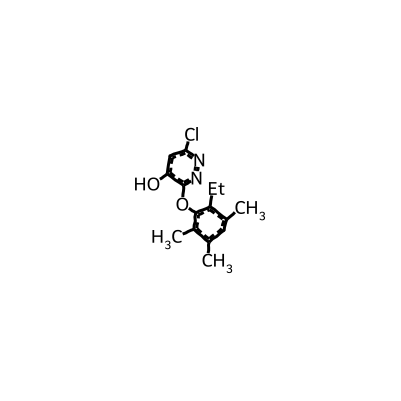 CCc1c(C)cc(C)c(C)c1Oc1nnc(Cl)cc1O